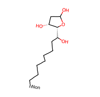 CCCCCCCCCCCCCCCCC(O)[C@H]1OC(O)C[C@H]1O